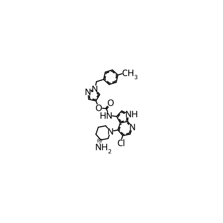 Cc1ccc(Cn2cc(OC(=O)Nc3c[nH]c4ncc(Cl)c(N5CCC[C@@H](N)C5)c34)cn2)cc1